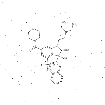 CCN(CC)CCN1C(=O)C(O)(c2ccc3ccccc3c2)c2c1cc(C(=O)N1CCOCC1)cc2C(F)(F)F